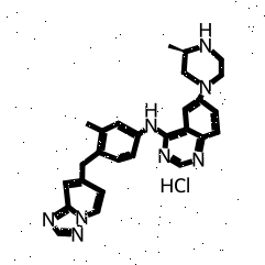 Cc1cc(Nc2ncnc3ccc(N4CCN[C@H](C)C4)cc23)ccc1Cc1ccn2ncnc2c1.Cl